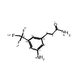 NC(=O)CCc1cc(N)cc(C(F)(F)F)c1